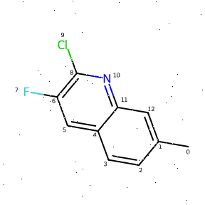 Cc1ccc2cc(F)c(Cl)nc2c1